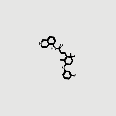 CC1=C(/C=C/C(=O)Nc2cccc3cnccc23)C(C)(C)CCC1Oc1cccc(F)c1